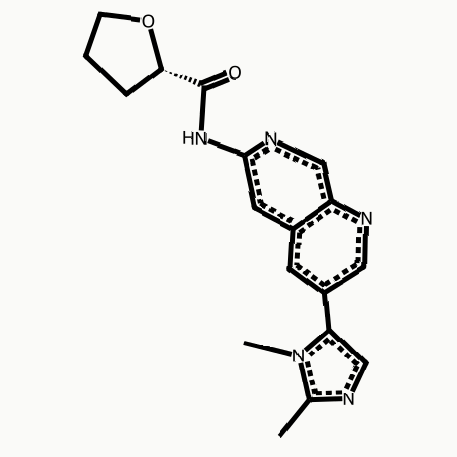 Cc1ncc(-c2cnc3cnc(NC(=O)[C@@H]4CCCO4)cc3c2)n1C